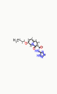 CCCCOc1ccc2ccc(C(=O)Nc3nnn[nH]3)c(=O)n2c1